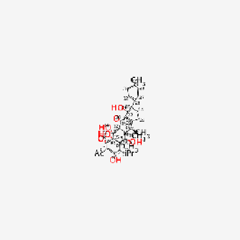 CC(=O)C1=C(O)C(C(C)C)[C@@]2(C)[C@H](O)[C@]3(C)C(=C(O)[C@@]2(O)C1=O)C(=O)c1c(ccc(-c2ccc(C)cc2)c1O)[C@H]3C